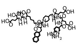 NNc1ccc(C(=O)NC(CCC(=O)O)C(=O)NC(CCC(=O)O)C(=O)NCC2CCN(C(=O)NC(Cc3ccc4ccccc4c3)C(=O)NCCCCC(NC(=O)NC(CCC(=O)O)C(=O)O)C(=O)O)CC2)cn1